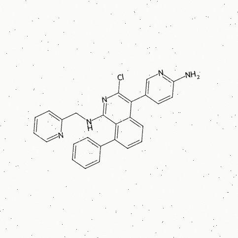 Nc1ccc(-c2c(Cl)nc(NCc3ccccn3)c3c(-c4ccccc4)cccc23)cn1